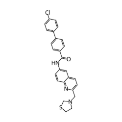 O=C(Nc1ccc2nc(CN3CCSC3)ccc2c1)c1ccc(-c2ccc(Cl)cc2)cc1